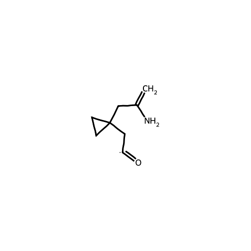 C=C(N)CC1(C[C]=O)CC1